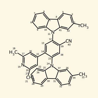 Cc1ccc2c3ccccc3n(-c3cc(-c4cc(C)nc(C)c4)c(-n4c5ccccc5c5ccc(C)cc54)cc3C#N)c2c1